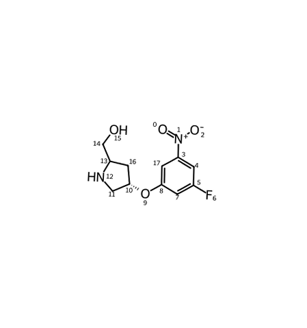 O=[N+]([O-])c1cc(F)cc(O[C@@H]2CNC(CO)C2)c1